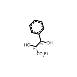 CCOC(=O)[C@H](O)[C@H](O)c1ccccc1